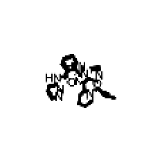 CC#CC(=O)N1CCCCC1C1=C2C=NC=C[N+]2(N)C(c2ccccc2C(=O)Nc2cccnn2)=N1